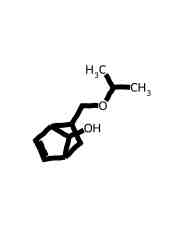 CC(C)OCC1CC2C=CC1C2O